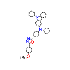 CC(C)(C)Oc1ccc(-c2nnc(-c3ccc(N(c4ccccc4)c4ccc5c(c4)c4ccccc4n5-c4ccccc4)cc3)o2)cc1